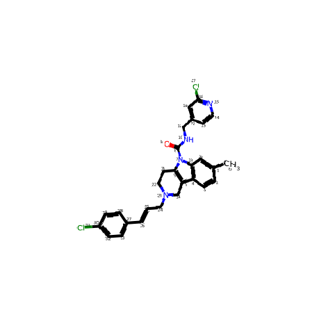 Cc1ccc2c3c(n(C(=O)NCc4ccnc(Cl)c4)c2c1)CCN(CC=Cc1ccc(Cl)cc1)C3